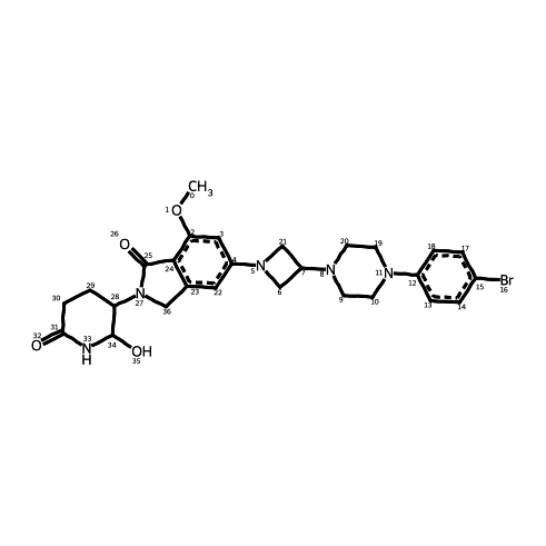 COc1cc(N2CC(N3CCN(c4ccc(Br)cc4)CC3)C2)cc2c1C(=O)N(C1CCC(=O)NC1O)C2